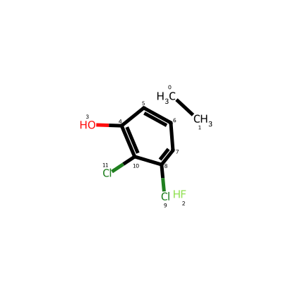 CC.F.Oc1cccc(Cl)c1Cl